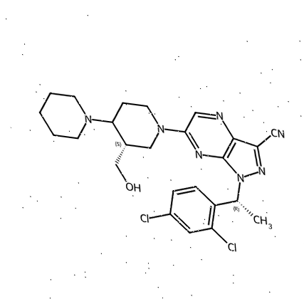 C[C@H](c1ccc(Cl)cc1Cl)n1nc(C#N)c2ncc(N3CCC(N4CCCCC4)[C@@H](CO)C3)nc21